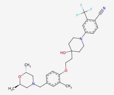 Cc1cc(CN2C[C@@H](C)O[C@H](C)C2)ccc1OCCC1(O)CCN(c2ccc(C#N)c(C(F)(F)F)c2)CC1